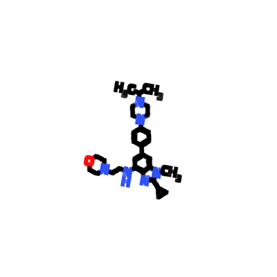 CC(C)N1CCN(c2ccc(-c3cc(NCCN4CCOCC4)c4nc(C5CC5)n(C)c4c3)cc2)CC1